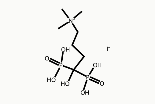 C[N+](C)(C)CCCC(O)(P(=O)(O)O)P(=O)(O)O.[I-]